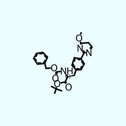 COC1CC=NC(c2ccc(C[C@H](NC(=O)OCc3ccccc3)C(=O)OC(C)(C)C)cc2)=N1